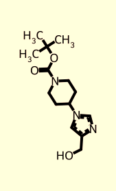 CC(C)(C)OC(=O)N1CCC(n2cnc(CO)c2)CC1